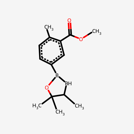 COC(=O)c1cc(B2BC(C)C(C)(C)O2)ccc1C